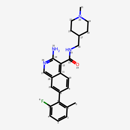 Cc1cccc(F)c1-c1ccc2c(C(=O)NCC3CCN(C)CC3)c(N)ncc2c1